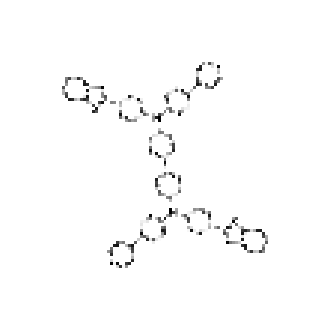 c1ccc(-c2ccc(N(c3ccc(-c4ccc(N(c5ccc(-c6ccccc6)cc5)c5ccc(-c6cc7ccccc7s6)cc5)cc4)cc3)c3ccc(-c4cc5ccccc5s4)cc3)cc2)cc1